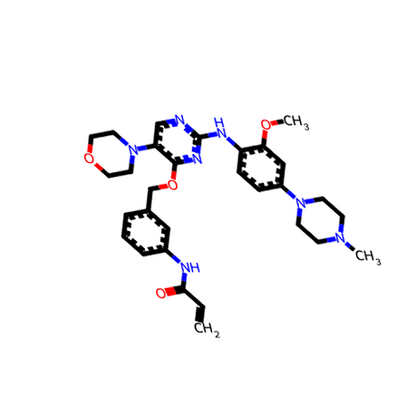 C=CC(=O)Nc1cccc(COc2nc(Nc3ccc(N4CCN(C)CC4)cc3OC)ncc2N2CCOCC2)c1